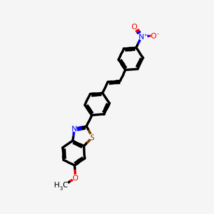 COc1ccc2nc(-c3ccc(C=Cc4ccc([N+](=O)[O-])cc4)cc3)sc2c1